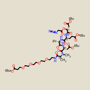 CC(C)[C@H](NC(=O)[C@H](CCC(=O)OC(C)(C)C)NC(=O)[C@@H](CC(=O)OC(C)(C)C)OC(=O)CN=[N+]=[N-])C(=O)N[C@H](CC(=O)OC(C)(C)C)C(=O)N(C)[C@@H](C)C(=O)NCCOCCOCCOCCOCCC(=O)OC(C)(C)C